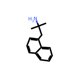 CC(C)(N)Cc1cccc2ccccc12